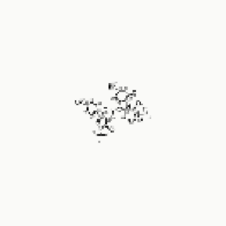 CC(C)(C)OC(=O)N(CCc1c(CBr)n(C(=O)OC(C)(C)C)c2c(F)cc(Br)cc12)S(=O)(=O)c1ccc(Cl)cc1